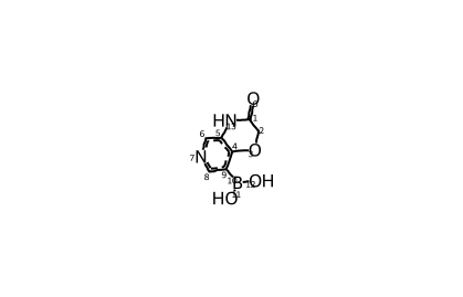 O=C1COc2c(cncc2B(O)O)N1